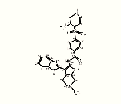 CC1CNCCC1S(=O)(=O)c1ccc(C(=O)Nc2sc3c(c2-c2nc4ccccc4s2)CCN(C)C3)cc1